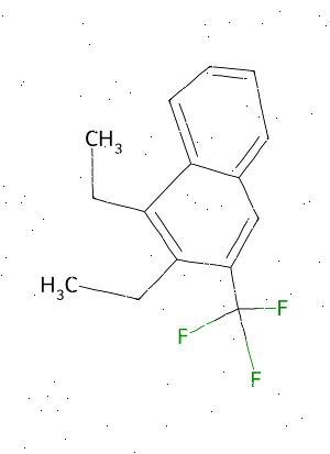 CCc1c(C(F)(F)F)cc2ccccc2c1CC